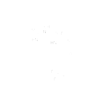 CN1C(=O)NC[C@H]1C(=O)Nc1cc(Oc2ccc(C(F)(F)F)cc2)ccc1F